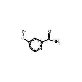 CCOc1[c]c(C(N)=O)ncc1